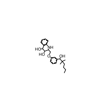 CCCCC(C)(C)C(O)c1cccc(OCC2Nc3ccccc3C(O)C2O)c1